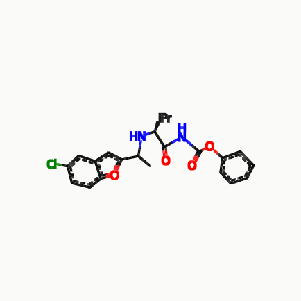 CC(N[C@H](C(=O)NC(=O)Oc1ccccc1)C(C)C)c1cc2cc(Cl)ccc2o1